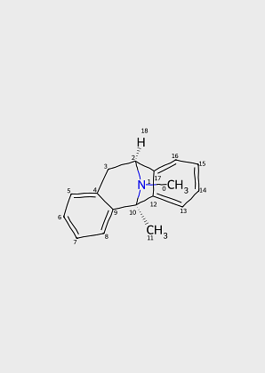 CN1[C@H]2Cc3ccccc3[C@]1(C)c1ccccc12